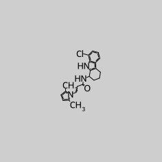 Cc1ccc(C)n1CCC(=O)NC1CCCc2c1[nH]c1c(Cl)cccc21